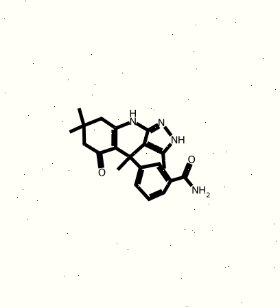 Cc1[nH]nc2c1C(C)(c1cccc(C(N)=O)c1)C1=C(CC(C)(C)CC1=O)N2